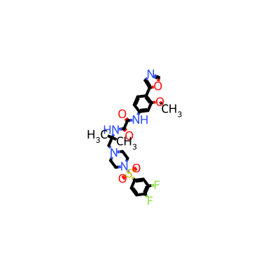 COc1cc(NC(=O)C(=O)NC(C)(C)CN2CCN(S(=O)(=O)c3ccc(F)c(F)c3)CC2)ccc1-c1cnco1